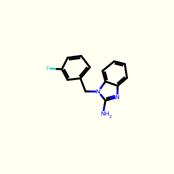 Nc1nc2ccccc2n1Cc1cccc(F)c1